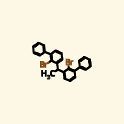 CC(c1cccc(-c2ccccc2)c1Br)c1cccc(-c2ccccc2)c1Br